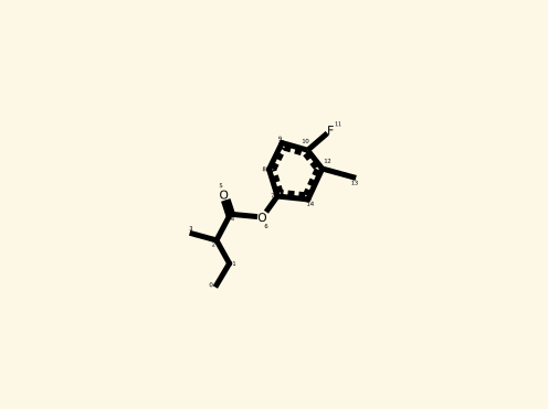 CCC(C)C(=O)Oc1ccc(F)c(C)c1